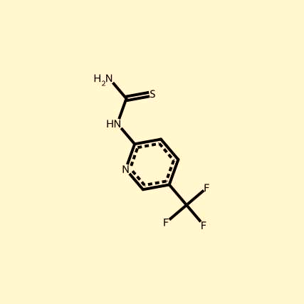 NC(=S)Nc1ccc(C(F)(F)F)cn1